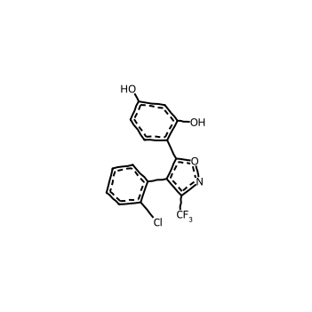 Oc1ccc(-c2onc(C(F)(F)F)c2-c2ccccc2Cl)c(O)c1